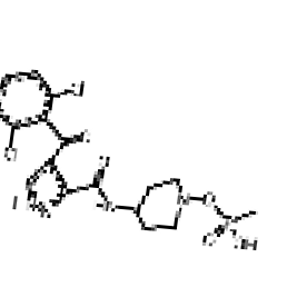 CP(=O)(O)ON1CCC(NC(=O)c2n[nH]cc2C(=O)c2c(Cl)cccc2Cl)CC1